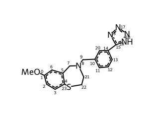 COc1ccc2c(c1)CN(Cc1cccc(-c3nnn[nH]3)c1)CCS2